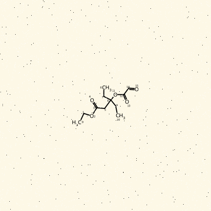 CCOC(=O)CC(CC)(CC)OC(=O)C=O